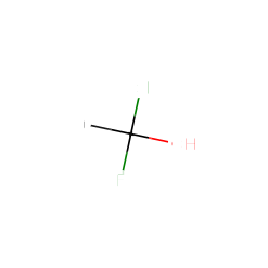 CCC(O)(F)Cl